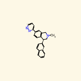 CN1Cc2cc(-c3cc[c]nn3)ccc2C(c2ccc3ccccc3c2)C1